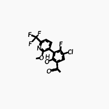 COc1nc(C(F)(F)F)ccc1-c1c(O)c(C(C)=O)cc(Cl)c1F